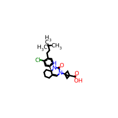 CC(C)(C)CCc1ccc([C@]23CCCCC2=CN(C24CC(C(=O)O)(C2)C4)C(=O)N3)cc1Cl